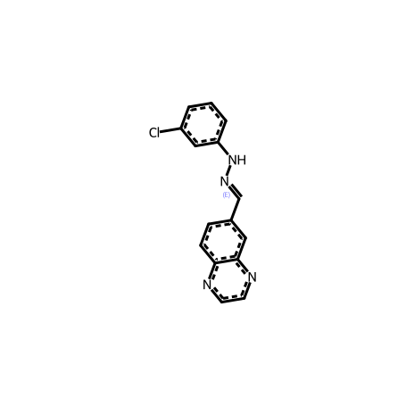 Clc1cccc(N/N=C/c2ccc3nccnc3c2)c1